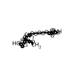 C=CC(=O)N1CCN(c2nc(O[C@H](C)CN3CCC(OCCOCCOCCOCCOc4ccc5c(c4)C(=O)N(C4CCC(=O)NC4=O)C5=O)CC3)nc3c(F)c(-c4cc(O)cc5ccccc45)c(Cl)cc23)CC1